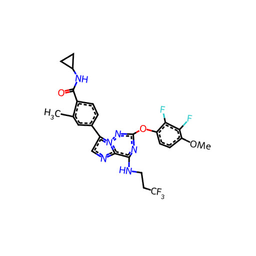 COc1ccc(Oc2nc(NCCC(F)(F)F)c3ncc(-c4ccc(C(=O)NC5CC5)c(C)c4)n3n2)c(F)c1F